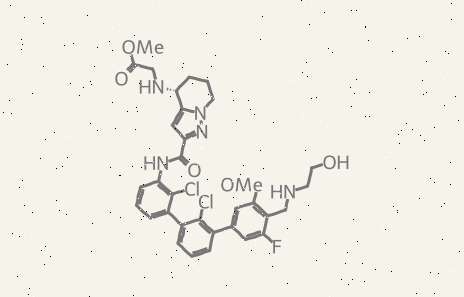 COC(=O)CN[C@@H]1CCCn2nc(C(=O)Nc3cccc(-c4cccc(-c5cc(F)c(CNCCO)c(OC)c5)c4Cl)c3Cl)cc21